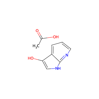 CC(=O)O.Oc1c[nH]c2ncccc12